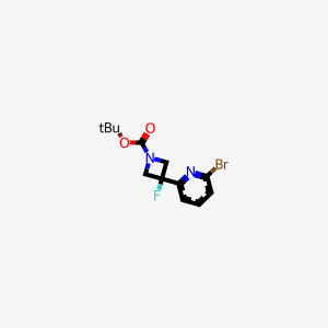 CC(C)(C)OC(=O)N1CC(F)(c2cccc(Br)n2)C1